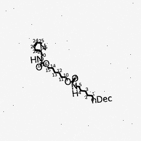 CCCCCCCCCCCCCCCNC(=O)OCCCCCCOC(=O)NCc1ccccn1